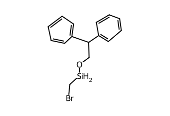 BrC[SiH2]OCC(c1ccccc1)c1ccccc1